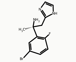 C[C@](N)(Cc1ncc[nH]1)c1cc(Br)ccc1F